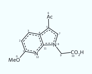 COc1ccc2c(C(C)=O)cn(CC(=O)O)c2n1